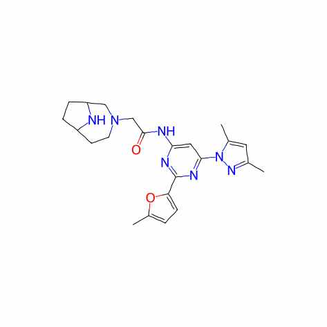 Cc1cc(C)n(-c2cc(NC(=O)CN3CCC4CCC(C3)N4)nc(-c3ccc(C)o3)n2)n1